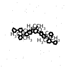 Cc1ccc(-c2ccccc2)cc1N(c1ccc2cc3c(cc2c1)oc1c(C(C)C)c2oc4cc5cc(N(c6cc(-c7ccccc7)ccc6C)c6c(C)cccc6C)ccc5cc4c2cc13)c1c(C)cccc1C